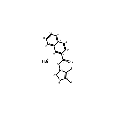 Br.CC1=C(C)N(CC(=O)c2ccc3ccccc3c2)CS1